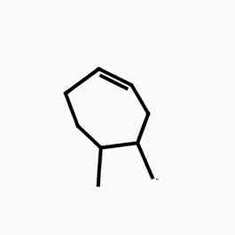 [CH2]C1CC=CCCC1C